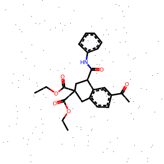 CCOC(=O)C1(C(=O)OCC)Cc2ccc(C(C)=O)cc2C(C(=O)Nc2ccccc2)C1